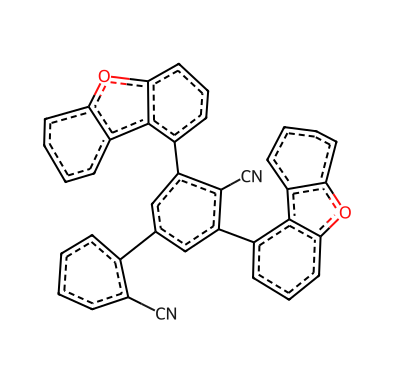 N#Cc1ccccc1-c1cc(-c2cccc3oc4ccccc4c23)c(C#N)c(-c2cccc3oc4ccccc4c23)c1